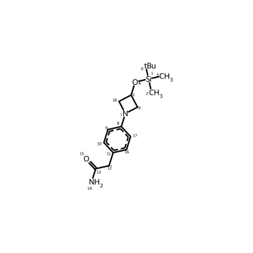 CC(C)(C)[Si](C)(C)OC1CN(c2ccc([CH]C(N)=O)cc2)C1